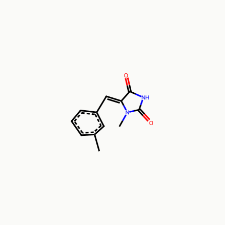 Cc1cccc(C=C2C(=O)NC(=O)N2C)c1